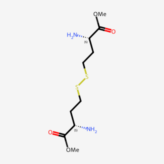 COC(=O)[C@@H](N)CCSSCC[C@H](N)C(=O)OC